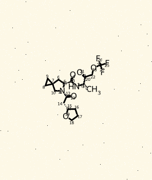 C[C@H](NC(=O)[C@@H]1CC2(CC2)CN1C(=O)C[C@@H]1CCCO1)C(=O)COC(F)(F)F